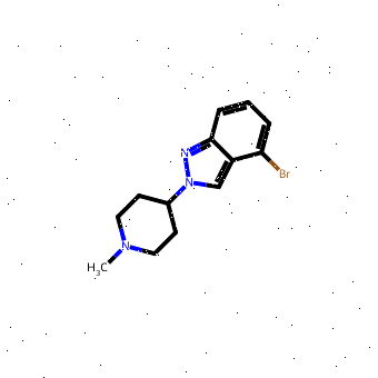 CN1CCC(n2cc3c(Br)cccc3n2)CC1